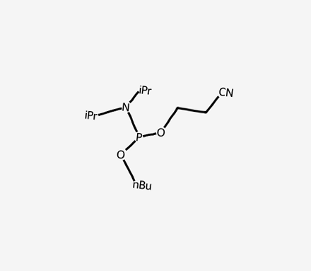 CCCCOP(OCCC#N)N(C(C)C)C(C)C